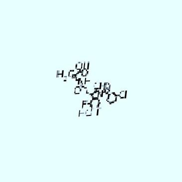 Cc1c(CCC(=O)NC[C@H](C)C(=O)O)c2c(F)c(O)c(F)cc2n1C(=O)c1cccc(Cl)c1